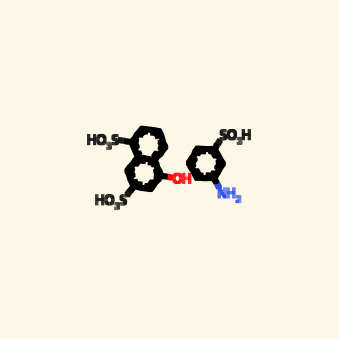 Nc1cccc(S(=O)(=O)O)c1.O=S(=O)(O)c1cc(O)c2cccc(S(=O)(=O)O)c2c1